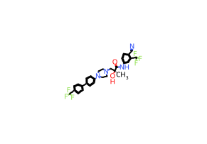 C[C@](O)(CN1CCN(c2ccc(-c3ccc(C(F)(F)F)cc3)cc2)CC1)C(=O)Nc1ccc(C#N)c(C(F)(F)F)c1